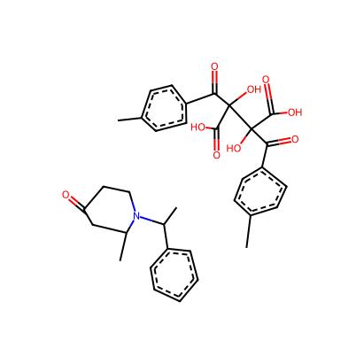 CC1CC(=O)CCN1C(C)c1ccccc1.Cc1ccc(C(=O)C(O)(C(=O)O)C(O)(C(=O)O)C(=O)c2ccc(C)cc2)cc1